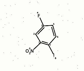 O=[N+]([O-])c1cc(F)ccc1I